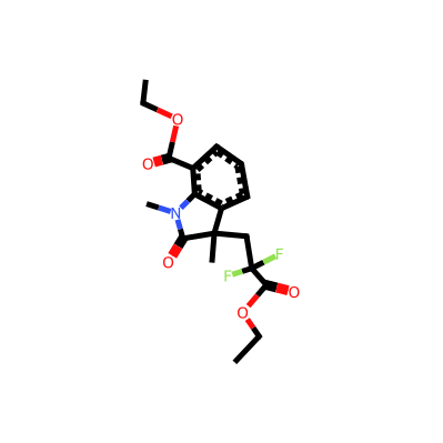 CCOC(=O)c1cccc2c1N(C)C(=O)C2(C)CC(F)(F)C(=O)OCC